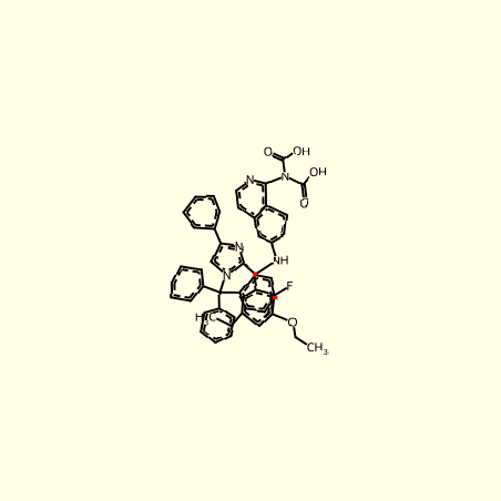 CCOc1cc(CC)cc(C(Nc2ccc3c(N(C(=O)O)C(=O)O)nccc3c2)c2nc(-c3ccccc3)cn2C(c2ccccc2)(c2ccccc2)c2ccccc2)c1F